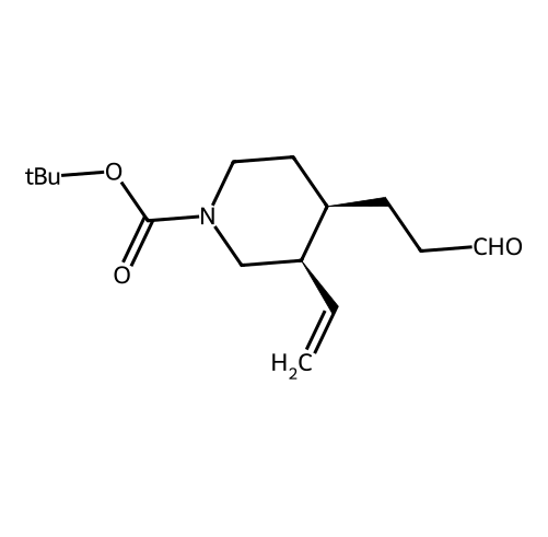 C=C[C@H]1CN(C(=O)OC(C)(C)C)CC[C@H]1CCC=O